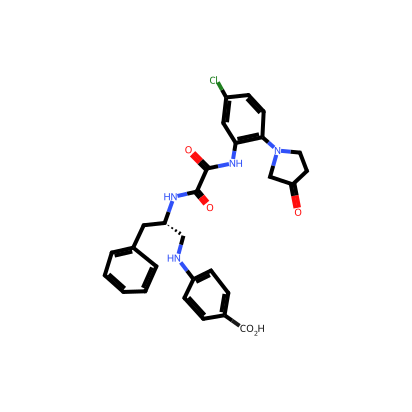 O=C1CCN(c2ccc(Cl)cc2NC(=O)C(=O)N[C@H](CNc2ccc(C(=O)O)cc2)Cc2ccccc2)C1